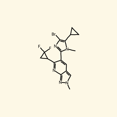 Cn1cc2cc(-c3nc(Br)c(C4CC4)n3C)c(C3CC3(F)F)nc2n1